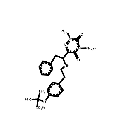 CCCCCCCn1c(=O)c(C(Cc2ccccc2)NCCc2ccc(OC(C)(C)C(=O)OCC)cc2)nn(C)c1=O